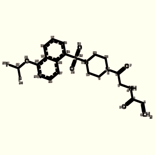 C=CC(=O)NCC(=O)N1CCN(S(=O)(=O)c2cccc3c(OC(F)F)nccc23)CC1